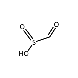 O=CS(=O)O